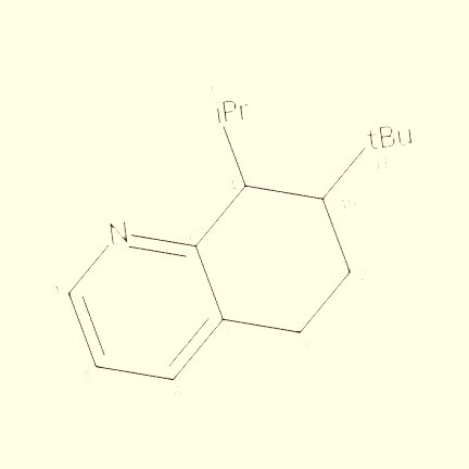 CC(C)C1c2ncccc2CCC1C(C)(C)C